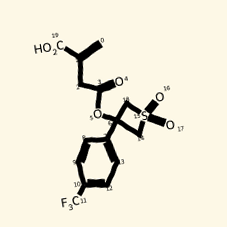 C=C(CC(=O)OC1(c2ccc(C(F)(F)F)cc2)CS(=O)(=O)C1)C(=O)O